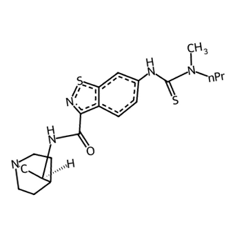 CCCN(C)C(=S)Nc1ccc2c(C(=O)N[C@@H]3CN4CCC3CC4)nsc2c1